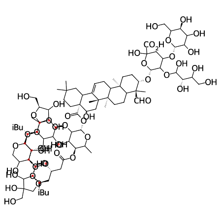 CC[C@H](C)[C@H](C[C@H](O)CC(=O)O[C@@H]1C(C)O[C@@H](OC(=O)[C@]23CCC(C)(C)CC2C2=CCC4[C@@]5(C)CC[C@H](O[C@@H]6OC(O)(C(=O)O)CC(O[C@@H]7OC(CO)[C@@H](O)C(O)C7O)C6OC(O)[C@@H](O)C(O)CO)[C@@](C)(C=O)C5CC[C@@]4(C)[C@]2(C)C[C@H]3O)C(O[C@@H]2OC(C)[C@H](O[C@H]3OCC(O)[C@H](O[C@@H]4OCC(O)(CO)C4O)C3O)C(O)C2O)C1O)OC(=O)C[C@@H](O)C[C@H](O[C@@H]1O[C@@H](CO)C(O)C1O)[C@@H](C)CC